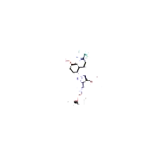 COc1ccc(-n2cc(C(=O)O)c(CNC(=O)OC(C)(C)C)n2)c2ccc(C(F)(F)F)nc12